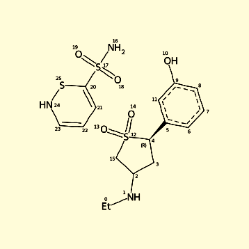 CCNC1C[C@H](c2cccc(O)c2)S(=O)(=O)C1.NS(=O)(=O)C1=CC=CNS1